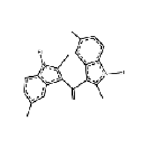 C=C(c1c(C)n(CC)c2ccc(C)cc12)c1c(C)n(CC)c2ccc(C)cc12